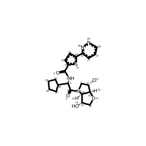 O=C(N[C@H](C(=O)N1C[C@H](Cl)[C@H]2OC[C@H](O)[C@H]21)C1CCCC1)c1ccc(-c2cccnn2)s1